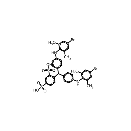 Cc1cc(Br)cc(C)c1Nc1ccc(C(c2ccc(Nc3c(C)cc(Br)cc3C)cc2)c2ccc(S(=O)(=O)O)cc2S(=O)(=O)O)cc1